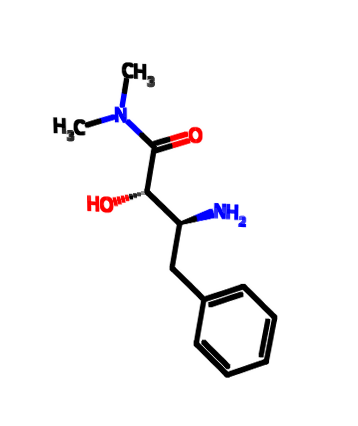 CN(C)C(=O)[C@@H](O)[C@@H](N)Cc1ccccc1